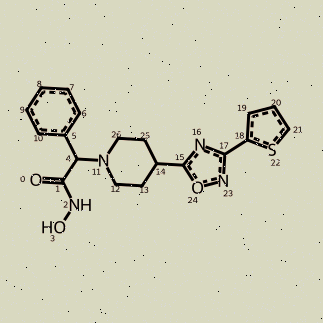 O=C(NO)C(c1ccccc1)N1CCC(c2nc(-c3cccs3)no2)CC1